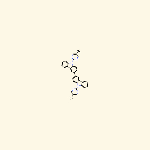 CC(C)(C)c1cnc(-n2c3ccccc3c3cc(-c4ccc5c(c4)c4ccccc4n5-c4ncc([Si](C)(C)C)cn4)ccc32)nc1